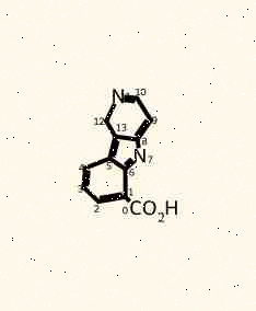 O=C(O)c1cccc2c1=NC1=CC=NCC=21